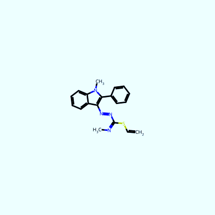 C=CSC(/N=N/c1c(-c2ccccc2)n(C)c2ccccc12)=N/C